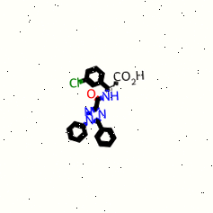 O=C(O)C[C@H](NC(=O)c1nc(-c2ccccc2)n(-c2ccccc2)n1)c1cccc(Cl)c1